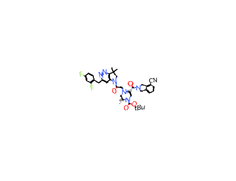 C[C@@H]1CN(CC(=O)N2CC(C)(C)c3nnc(Cc4ccc(F)cc4F)cc32)[C@H](C(=O)N2Cc3cccc(C#N)c3C2)CN1C(=O)OC(C)(C)C